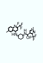 Cc1ccc2nc(C(F)(F)F)cc(N[C@H]3CCC[C@@H](NC(=O)c4cn(C)nc4C(F)(F)F)C3)c2c1